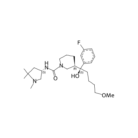 COCCCC[C@@](O)(c1cccc(F)c1)[C@@H]1CCCN(C(=O)N[C@@H]2CN(C)C(C)(C)C2)C1